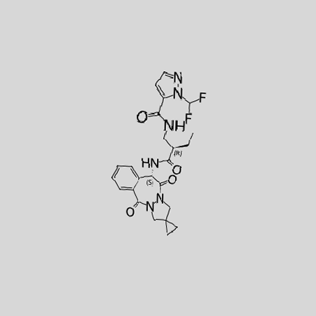 CC[C@H](CNC(=O)c1ccnn1C(F)F)C(=O)N[C@@H]1C(=O)N2CC3(CC3)CN2C(=O)c2ccccc21